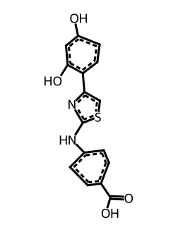 O=C(O)c1ccc(Nc2nc(-c3ccc(O)cc3O)cs2)cc1